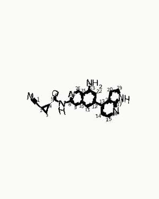 N#C[C@@H]1C[C@H]1C(=O)Nc1cc2cc(-c3ccnc4[nH]ccc34)cc(N)c2cn1